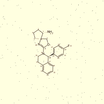 N[C@H]1CCC[C@@]12COC(N1CCc3ccccc3[C@@H]1c1ccc(F)cc1)=N2